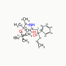 C=CCC(O)(CCNC(C)C(C)(C)O[Si](C)(C)C(C)(C)C)c1ccccc1